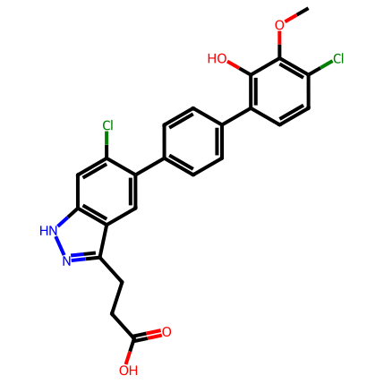 COc1c(Cl)ccc(-c2ccc(-c3cc4c(CCC(=O)O)n[nH]c4cc3Cl)cc2)c1O